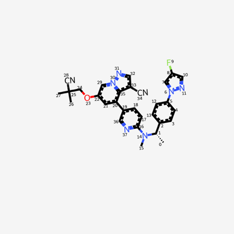 C[C@@H](c1ccc(-n2cc(F)cn2)cc1)N(C)c1ccc(-c2cc(OCC(C)(C)C#N)cn3ncc(C#N)c23)cn1